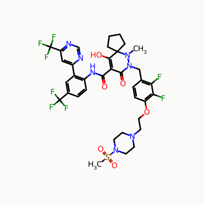 CN1N(Cc2ccc(OCCN3CCN(S(C)(=O)=O)CC3)c(F)c2F)C(=O)C(C(=O)Nc2ccc(C(F)(F)F)cc2-c2cc(C(F)(F)F)ncn2)=C(O)C12CCCC2